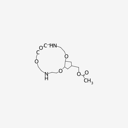 CC(=O)OCC1CC2OCCNCCOCCOCCNCCOC2C1